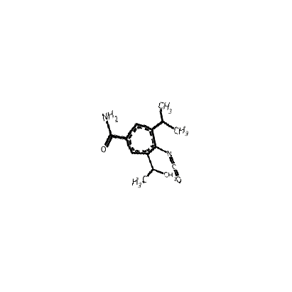 CC(C)c1cc(C(N)=O)cc(C(C)C)c1N=C=O